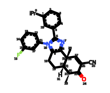 CC(C)c1cccc(-c2nc3c(n2-c2cccc(F)c2)CC[C@@H]2[C@@H](C)C(=O)C(C#N)=C[C@@]32C)c1